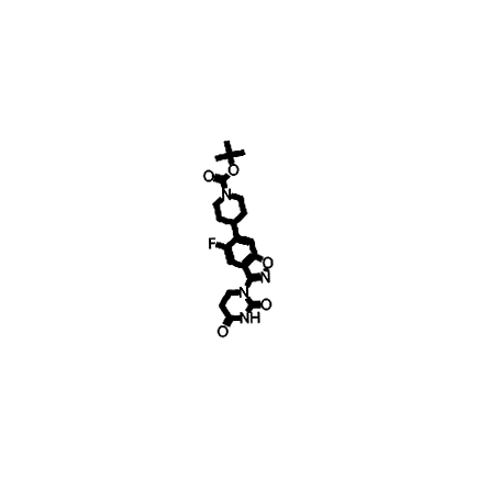 CC(C)(C)OC(=O)N1CCC(c2cc3onc(N4CCC(=O)NC4=O)c3cc2F)CC1